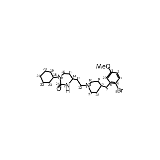 COc1ccc(Br)c(CC2CCN(CCC3CCN(C4CCCCC4)C(=O)N3)CC2)c1